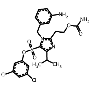 CC(C)c1nc(CCOC(N)=O)n(Cc2cccc(N)c2)c1S(=O)(=O)Oc1cc(Cl)cc(Cl)c1